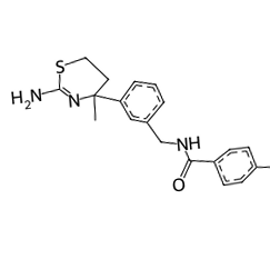 Cc1ccc(C(=O)NCc2cccc(C3(C)CCSC(N)=N3)c2)cc1